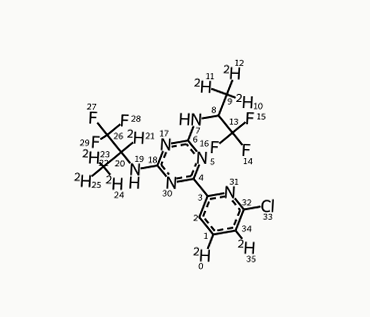 [2H]c1cc(-c2nc(NC(C([2H])([2H])[2H])C(F)(F)F)nc(NC([2H])(C([2H])([2H])[2H])C(F)(F)F)n2)nc(Cl)c1[2H]